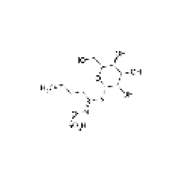 C=CCC/C(=N\OS(=O)(=O)O)S[C@@H]1OC(CO)[C@@H](O)C(O)C1O